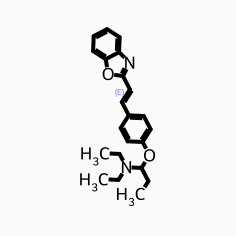 CCC(Oc1ccc(/C=C/c2nc3ccccc3o2)cc1)N(CC)CC